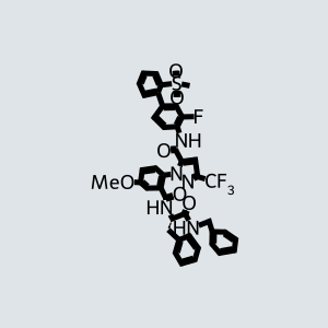 COc1ccc(-n2nc(C(F)(F)F)cc2C(=O)Nc2ccc(-c3ccccc3S(C)(=O)=O)cc2F)c(C(=O)N[C@@H](Cc2ccccc2)C(=O)NCc2ccccc2)c1